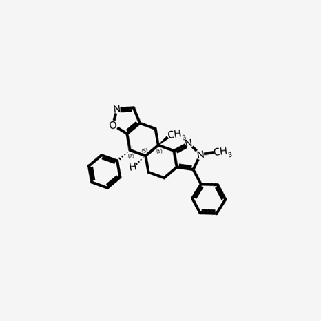 Cn1nc2c(c1-c1ccccc1)CC[C@H]1[C@H](c3ccccc3)c3oncc3C[C@]21C